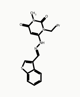 CC(C)Cn1c(NN=Cc2csc3ccccc23)cc(=O)n(C)c1=O